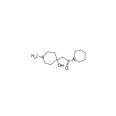 CN1CCC(O)(CC(=O)N2CCCCC2)CC1